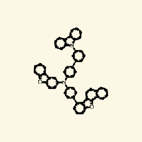 c1cc(-c2ccc(N(c3ccc(-c4cccc5oc6c7ccccc7ccc6c45)cc3)c3ccc4oc5ccccc5c4c3)cc2)cc(-n2c3ccccc3c3ccccc32)c1